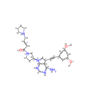 COc1cc(C#Cc2cn([C@H]3CCN(C(=O)/C=C/CN4CCCC4)C3)c3ncnc(N)c23)cc(OC)c1